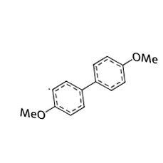 COc1[c]cc(-c2ccc(OC)cc2)cc1